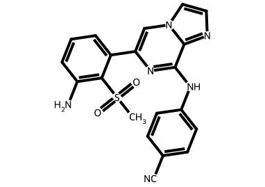 CS(=O)(=O)c1c(N)cccc1-c1cn2ccnc2c(Nc2ccc(C#N)cc2)n1